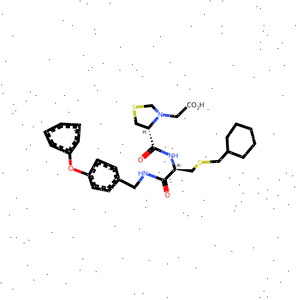 O=C(O)CN1CSC[C@H]1C(=O)N[C@@H](CSCC1CCCCC1)C(=O)NCc1ccc(Oc2ccccc2)cc1